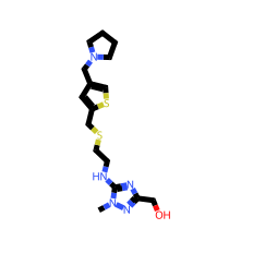 Cn1nc(CO)nc1NCCSCc1cc(CN2CCCC2)cs1